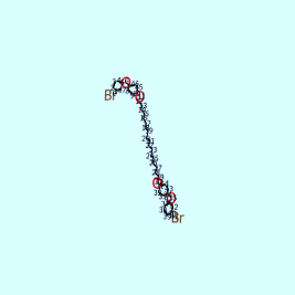 Brc1cccc(Oc2ccc(OCCCCCCCCCCCCCCCCCCOc3ccc(Oc4cccc(Br)c4)cc3)cc2)c1